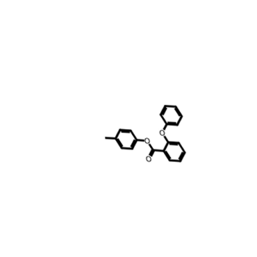 Cc1ccc(OC(=O)c2ccccc2Oc2ccccc2)cc1